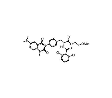 COCCOC(=O)[C@H](Cc1ccc(-n2c(=O)c3cc(N(C)C)ccc3n(C)c2=O)cc1)NC(=O)c1c(Cl)cccc1Cl